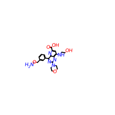 NOCc1cccc(-c2nc(N3CCOCC3)nc3c(NCCO)cc(C(=O)O)nc23)c1